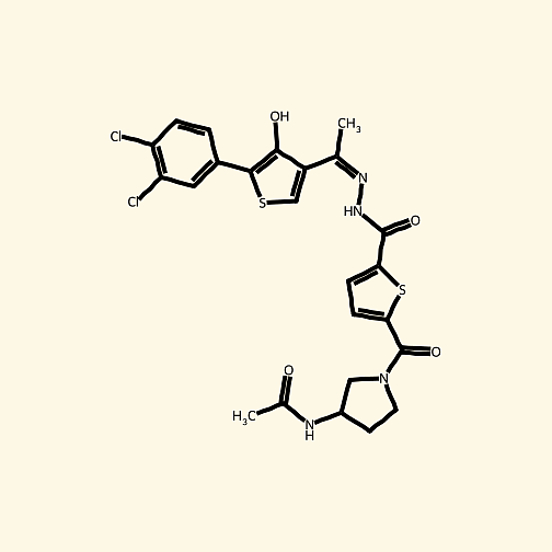 CC(=O)NC1CCN(C(=O)c2ccc(C(=O)N/N=C(/C)c3csc(-c4ccc(Cl)c(Cl)c4)c3O)s2)C1